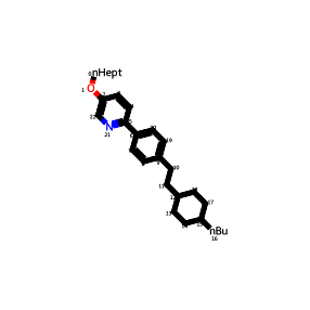 CCCCCCCOc1ccc(-c2ccc(CCC3CCC(CCCC)CC3)cc2)nc1